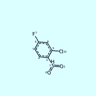 O=[SH](=O)c1ccc(F)cc1Cl